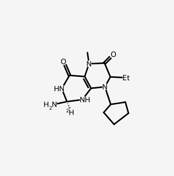 [2H][C@]1(N)NC(=O)C2=C(N1)N(C1CCCC1)C(CC)C(=O)N2C